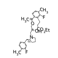 CCOC(=O)CCc1c([C@@H](C)OC[C@H](O)CN2CCC[C@H]2Cc2ccc(C)c(F)c2)ccc(C)c1F